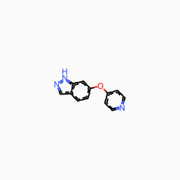 c1cc(Oc2ccc3cn[nH]c3c2)ccn1